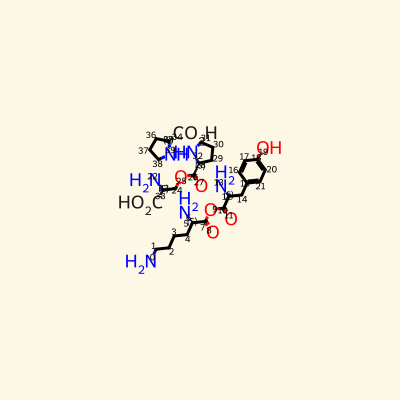 NCCCC[C@H](N)C(=O)OC(=O)[C@@H](N)Cc1ccc(O)cc1.N[C@@H](COC(=O)[C@@H]1CCCN1)C(=O)O.O=C(O)[C@@H]1CCCN1